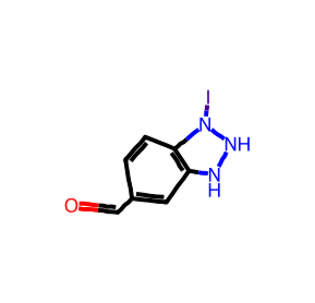 O=Cc1ccc2c(c1)NNN2I